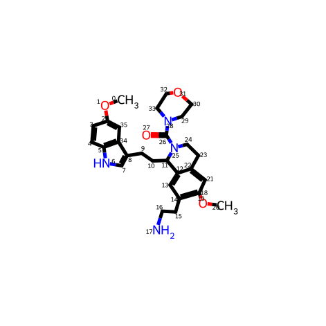 COc1ccc2[nH]cc(CCC3c4cc(CCN)c(OC)cc4CCN3C(=O)N3CCOCC3)c2c1